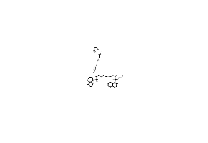 C=C(/C=C/C=C/C=C/C=C1/N(CCOCCOCCC(=O)ON2C(=O)CCC2=O)c2ccc3c(S(=O)(=O)O)cc(S(=O)(=O)O)cc3c2C1(C)C)C(C)(CCCS(=O)(=O)O)c1c(C)ccc2c(S(=O)(=O)O)cc(S(=O)(=O)O)cc12